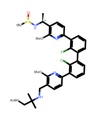 COc1nc(-c2cccc(-c3cccc(-c4ccc([C@H](C)N[S+]([O-])C(C)(C)C)c(OC)n4)c3Cl)c2Cl)ccc1CNC(C)(C)CNC(C)=O